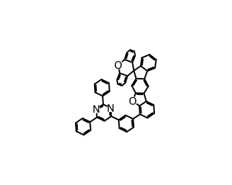 c1ccc(-c2cc(-c3cccc(-c4cccc5c4oc4cc6c(cc45)-c4ccccc4C64c5ccccc5Oc5ccccc54)c3)nc(-c3ccccc3)n2)cc1